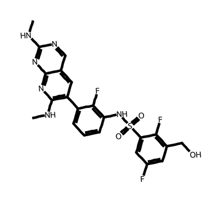 CNc1ncc2cc(-c3cccc(NS(=O)(=O)c4cc(F)cc(CO)c4F)c3F)c(NC)nc2n1